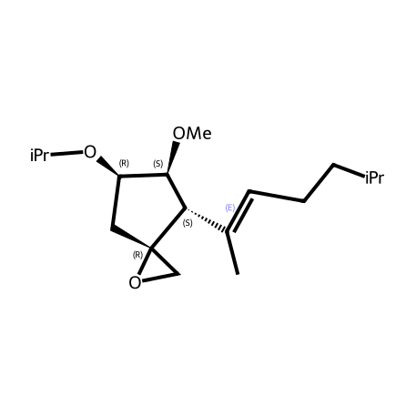 CO[C@@H]1[C@H](OC(C)C)C[C@]2(CO2)[C@H]1/C(C)=C/CCC(C)C